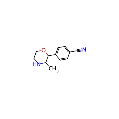 CC1NCCOC1c1ccc(C#N)cc1